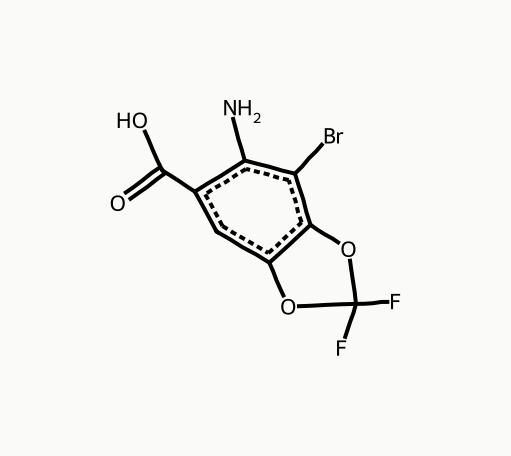 Nc1c(C(=O)O)cc2c(c1Br)OC(F)(F)O2